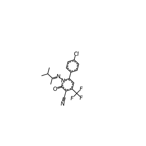 CC(=Nn1c(-c2ccc(Cl)cc2)cc(C(F)(F)F)c(C#N)c1=O)C(C)C